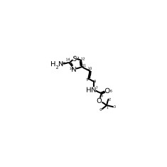 CC(C)(C)OC(=O)NC/C=C/c1csc(N)n1